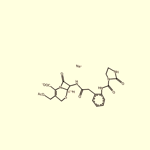 CC(=O)OCC1=C(C(=O)[O-])N2C(=O)C(NC(=O)Cc3ccccc3NC(=O)N3CCNC3=O)[C@H]2SC1.[Na+]